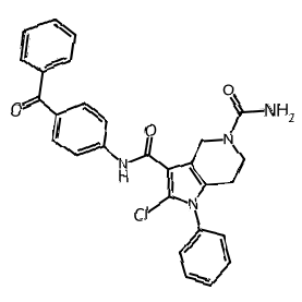 NC(=O)N1CCc2c(c(C(=O)Nc3ccc(C(=O)c4ccccc4)cc3)c(Cl)n2-c2ccccc2)C1